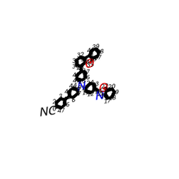 N#Cc1ccc(-c2ccc(N(c3ccc(-c4nc5ccccc5o4)cc3)c3ccc(-c4cccc5c4oc4ccccc45)cc3)cc2)cc1